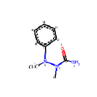 CN(C(N)=O)N(C=O)c1ccccc1